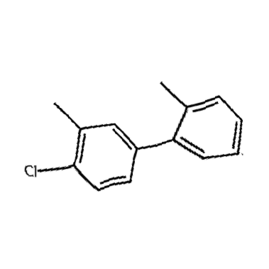 Cc1cc(-c2c[c]ccc2C)ccc1Cl